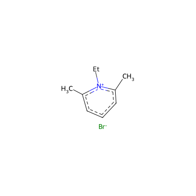 CC[n+]1c(C)cccc1C.[Br-]